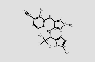 [C-]#[N+]c1cccc(Nc2n[s+]([O-])nc2N[C@@H](c2ccc(C)s2)C(C)(C)C)c1O